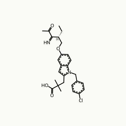 CC[C@H](COc1ccc2c(c1)cc(CC(C)(C)C(=O)O)n2Cc1ccc(Cl)cc1)C(=N)C(C)=O